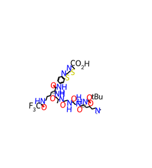 CC(NC(=O)CNC(=O)CNC(=O)[C@H](CCCCN(C)C)NC(=O)OC(C)(C)C)C(=O)N[C@@H](CCCCNC(=O)C(F)(F)F)C(=O)Nc1ccc2nc(C3=NC(C(=O)O)CS3)sc2c1